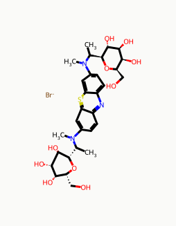 CC([C@@H]1O[C@H](CO)[C@H](O)[C@H](O)[C@H]1O)N(C)c1ccc2nc3ccc(N(C)C(C)[C@@H]4O[C@H](CO)[C@H](O)[C@H](O)[C@H]4O)cc3[s+]c2c1.[Br-]